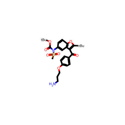 CCCCc1oc2ccc(N(C(=O)OC(C)(C)C)S(C)(=O)=O)cc2c1C(=O)c1ccc(OCCCN)cc1